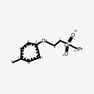 Cc1ccc(OCCS(=O)(=O)C(C)C)cc1